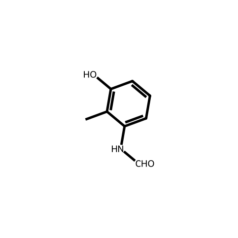 Cc1c(O)cccc1NC=O